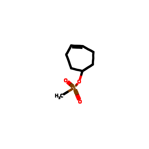 CS(=O)(=O)OC1CCC=CCC1